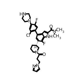 CN(C)C(=O)c1cc2c(-c3cc(F)c(N4CCNCC4)cc3Cl)cc([C@H]3CCCN(C(=O)CCn4cccn4)C3)c(F)c2[nH]1